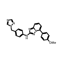 COc1ccc(-c2cccc3nc(Nc4ccc(Cn5cncn5)cc4)nn23)cc1